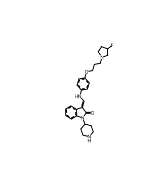 O=C1/C(=C/Nc2ccc(OCCCN3CCC(F)C3)cc2)c2ccccc2N1C1CCNCC1